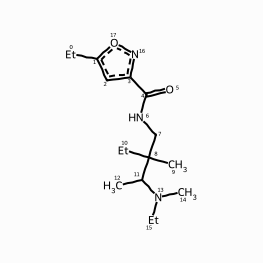 CCc1cc(C(=O)NCC(C)(CC)C(C)N(C)CC)no1